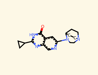 O=c1[nH]c(C2CC2)nc2cnc(N3CCN4CCC3CC4)cc12